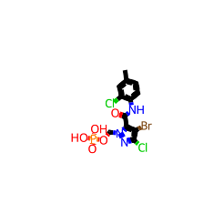 Cc1ccc(NC(=O)c2c(Br)c(Cl)nn2COP(=O)(O)O)c(Cl)c1